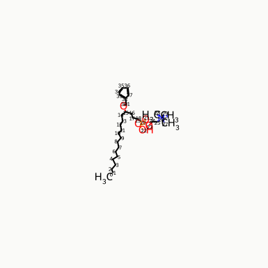 CCCCCCCCCCCCCCCC(CCCOP(=O)(O)OCC[N+](C)(C)C)OCc1ccccc1